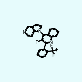 Fc1c(-c2ccccc2C(F)(F)F)nc2ccccc2c1-n1ccc2cnccc21